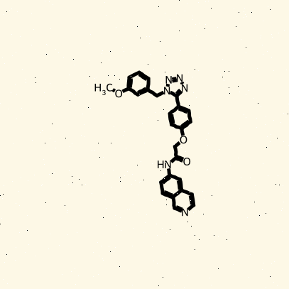 COc1cccc(Cn2nnnc2-c2ccc(OCC(=O)Nc3ccc4cnccc4c3)cc2)c1